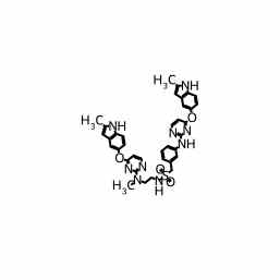 Cc1cc2cc(Oc3ccnc(Nc4cccc(CS(=O)(=O)NCCN(C)c5nccc(Oc6ccc7[nH]c(C)cc7c6)n5)c4)n3)ccc2[nH]1